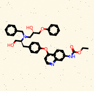 CCOC(=O)Nc1ccc2c(Oc3ccc(C[C@@H](CO)N(Cc4ccccc4)C[C@H](O)COc4ccccc4)cc3)ccnc2c1